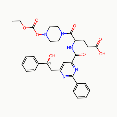 CCOC(=O)ON1CCN(C(=O)C(CCC(=O)O)NC(=O)c2cc(C[C@H](O)c3ccccc3)nc(-c3ccccc3)n2)CC1